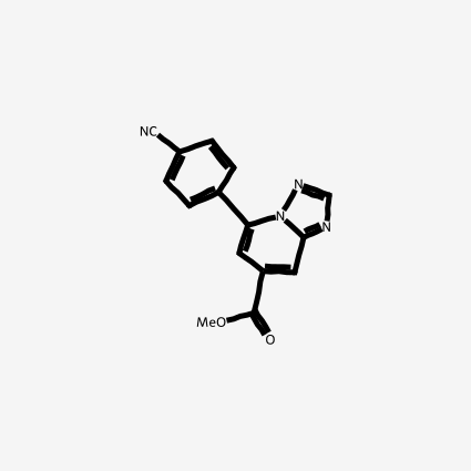 COC(=O)c1cc(-c2ccc(C#N)cc2)n2ncnc2c1